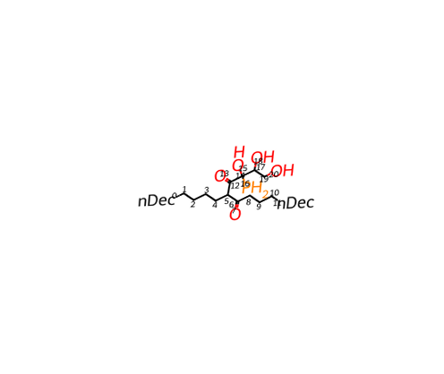 CCCCCCCCCCCCCCC(C(=O)CCCCCCCCCCCCC)C(=O)C(O)(P)C(O)CO